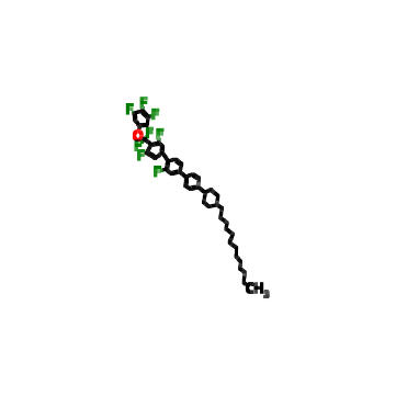 CCCCCCCCCCCCCC1CCC(c2ccc(-c3ccc(-c4cc(F)c(C(F)(F)Oc5cc(F)c(F)c(F)c5)c(F)c4)c(F)c3)cc2)CC1